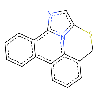 c1ccc2c(c1)c1cccc3c1n1c(cnc21)SC3